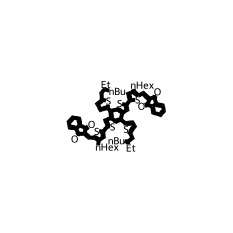 CCCCCCc1cc(-c2cc3c(-c4ccc(CC(CC)CCCC)s4)c4sc(-c5cc(CCCCCC)c(C=C6C(=O)c7ccccc7C6=O)s5)cc4c(-c4ccc(CC(CC)CCCC)s4)c3s2)sc1C=C1C(=O)c2ccccc2C1=O